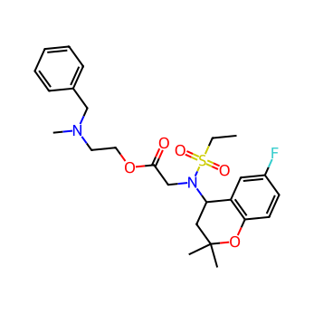 CCS(=O)(=O)N(CC(=O)OCCN(C)Cc1ccccc1)C1CC(C)(C)Oc2ccc(F)cc21